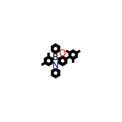 Cc1cc(C)c(-c2ccc3c4c2Oc2ccccc2B4c2c(C)cc(C)cc2N3c2ccccc2)c(C)c1